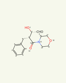 O=C[C@@H](O)[C@@H](Cc1ccccc1)C(=O)N1CCOCC1